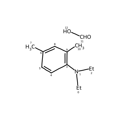 CCN(CC)c1ccc(C)cc1C.O=CO